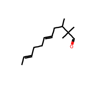 C/C=C/CC/C=C/CC(C)C(C)(C)C=O